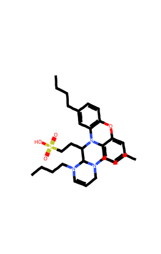 CCCCc1ccc2c(c1)N(C(CCS(=O)(=O)O)C1N(CCCC)C=CCN1CCCC)c1ccccc1O2